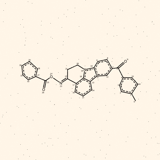 Cc1ccc(C(=O)c2ccc3c(c2)c2cccc4c2n3CC/C4=N\OC(=O)c2ccccc2)cc1